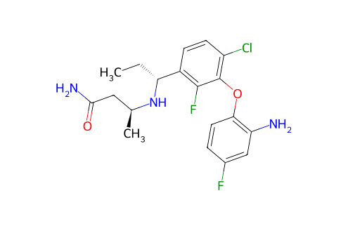 CC[C@@H](N[C@@H](C)CC(N)=O)c1ccc(Cl)c(Oc2ccc(F)cc2N)c1F